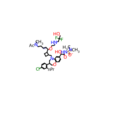 CCCc1cc(Cl)ccc1C1COc2ccc(C(O)C(=O)N[S+]([O-])N(C)C)cc2N(CC2CCC2C(/C=C/CCN(C)C(C)=O)OCCNCC(F)(F)CO)C1